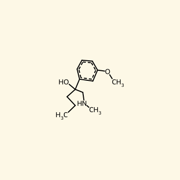 CCCC(O)(CNC)c1cccc(OC)c1